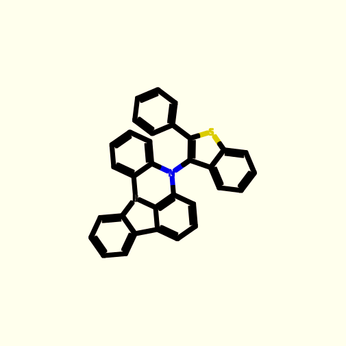 c1ccc(-c2sc3ccccc3c2N2c3ccccc3B3c4ccccc4-c4cccc2c43)cc1